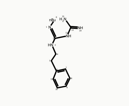 CCCCN=C(NCCc1ccccc1)NC(=N)N